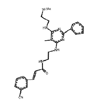 CC(=O)NCCNc1nc(-c2ccccc2)nc(NCCNC(=O)C=Cc2cccc(C#N)c2)c1C